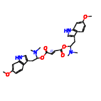 COc1ccc2c(CC(OC(=O)/C=C/C(=O)OC(Cc3c[nH]c4cc(OC)ccc34)N(C)C)N(C)C)c[nH]c2c1